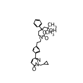 CC(C)(O)C[C@]1(c2ccccc2)CCN(CCc2ccc(-c3ccc(=O)n(CC4CC4)n3)cc2)C(=O)O1